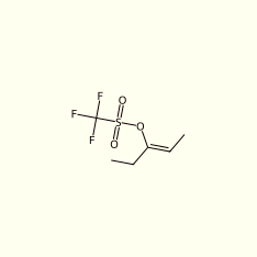 CC=C(CC)OS(=O)(=O)C(F)(F)F